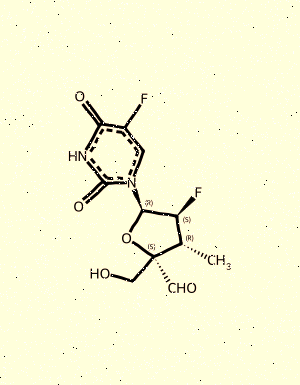 C[C@H]1[C@H](F)[C@H](n2cc(F)c(=O)[nH]c2=O)O[C@]1(C=O)CO